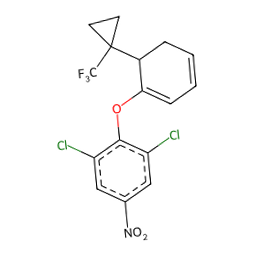 O=[N+]([O-])c1cc(Cl)c(OC2=CC=CCC2C2(C(F)(F)F)CC2)c(Cl)c1